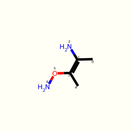 C/C(N)=C(\C)ON